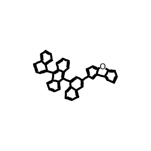 c1ccc2c(-c3c4ccccc4c(-c4cc(-c5ccc6oc7ccccc7c6c5)cc5ccccc45)c4ccccc34)cccc2c1